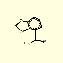 CC(C)C(C)c1cccc2c1OCO2